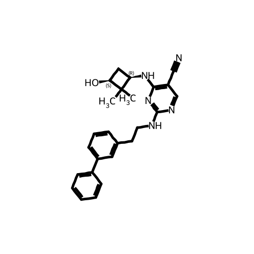 CC1(C)[C@@H](O)C[C@H]1Nc1nc(NCCc2cccc(-c3ccccc3)c2)ncc1C#N